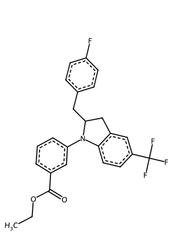 CCOC(=O)c1cccc(N2c3ccc(C(F)(F)F)cc3CC2Cc2ccc(F)cc2)c1